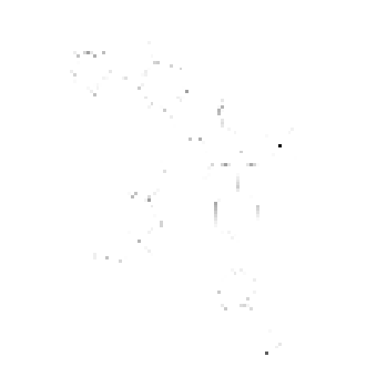 CC(C)(CF)NC(=O)OC[C@H](c1ccc(Cl)c(-c2ncn[nH]2)c1)N1C(=N)N[C@](CC(C)(C)C(F)(F)F)(C2C=CC(c3cnn(C4CC4)c3)=CC2)C1=O